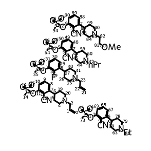 C=CCN1CCC(c2cccc(OS(C)(=O)=O)c2C#N)CC1.C=CCN1CCC(c2cccc(OS(C)(=O)=O)c2F)CC1.CCCN1CCC(c2cccc(OS(C)(=O)=O)c2C#N)CC1.CCN1CCC(c2cccc(OS(C)(=O)=O)c2C#N)CC1.COCCN1CCC(c2cccc(OS(C)(=O)=O)c2C#N)CC1